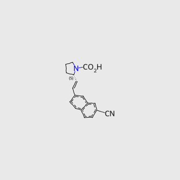 N#Cc1ccc2ccc(C=C[C@@H]3CCCN3C(=O)O)cc2c1